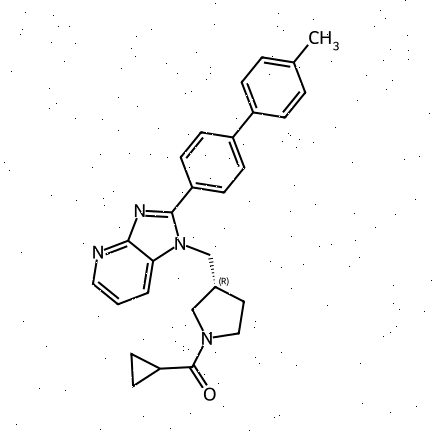 Cc1ccc(-c2ccc(-c3nc4ncccc4n3C[C@@H]3CCN(C(=O)C4CC4)C3)cc2)cc1